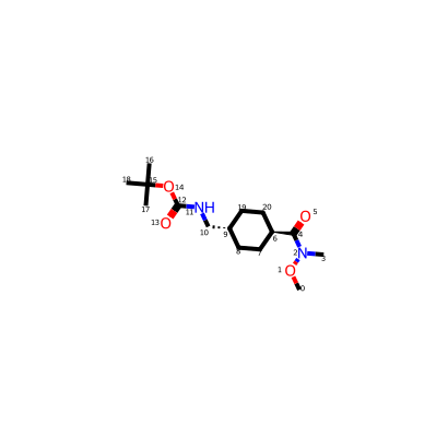 CON(C)C(=O)[C@H]1CC[C@H](CNC(=O)OC(C)(C)C)CC1